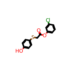 O=C(CSc1ccc(O)cc1)Oc1cccc(Cl)c1